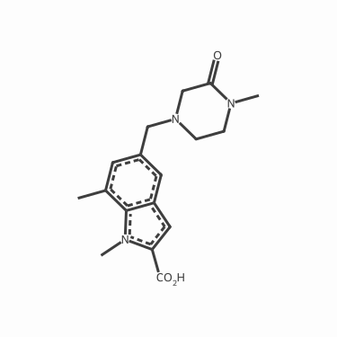 Cc1cc(CN2CCN(C)C(=O)C2)cc2cc(C(=O)O)n(C)c12